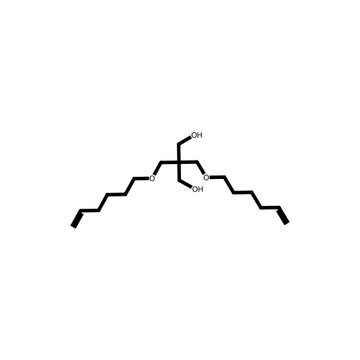 C=CCCCCOCC(CO)(CO)COCCCCC=C